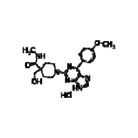 CNC(=O)C1(CO)CCN(c2nc(-c3ccc(OC)cc3)c3nc[nH]c3n2)CC1.Cl